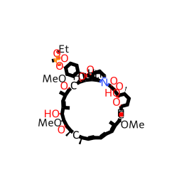 CCOP(C)(=O)O[C@@H]1CC[C@@H](CC2[C@@H]3CC(=O)C(C)/C=C(\C)[C@@H](O)[C@@H](OC)C(=O)[C@H](C)C[C@H](C)/C=C/C=C/C=C(\C)[C@@H](OC)C[C@@H]4CC[C@@H](C)[C@@](O)(O4)C(=O)C(=O)N4CCC[C@H]2[C@H]4C(=O)O3)C[C@H]1OC